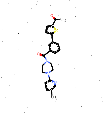 Cc1ccc(N2CCN(C(=O)c3cccc(-c4ccc(C(=O)C(F)(F)F)s4)c3)CC2)nc1